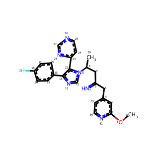 COc1cc(CC(=N)CC(C)n2cnc(-c3ccc(F)cc3)c2-c2ccncn2)ccn1